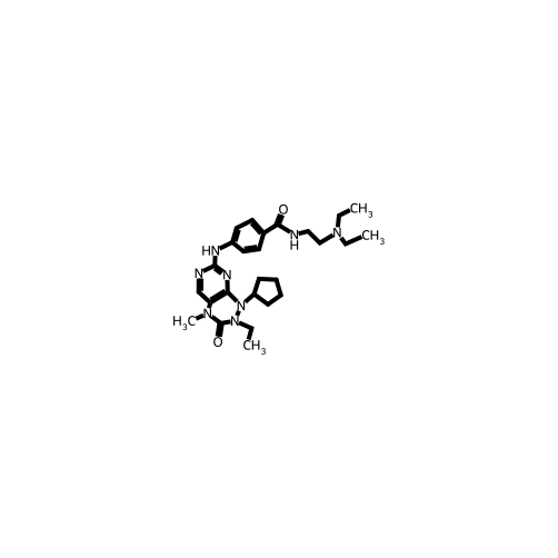 CCN(CC)CCNC(=O)c1ccc(Nc2ncc3c(n2)N(C2CCCC2)N(CC)C(=O)N3C)cc1